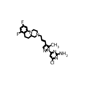 Cc1c(/C=C/CN2CCN3c4cc(F)cc(F)c4CCC3C2)cnn1-c1cc(Cl)nc(N)n1